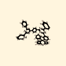 c1ccc(-c2nc(-c3ccc(-c4cc(-c5ccccn5)nc(-c5ccccn5)c4)cc3)nc(-c3cccc4c3-c3ccccc3C43c4ccccc4Oc4ccccc43)n2)cc1